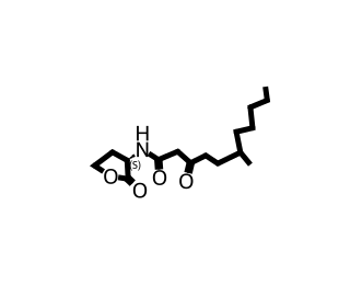 CCCCCC(C)CCC(=O)CC(=O)N[C@H]1CCOC1=O